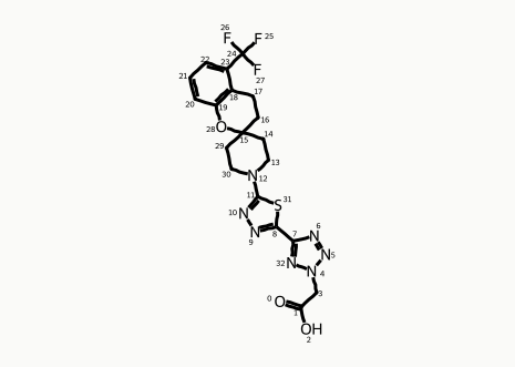 O=C(O)Cn1nnc(-c2nnc(N3CCC4(CCc5c(cccc5C(F)(F)F)O4)CC3)s2)n1